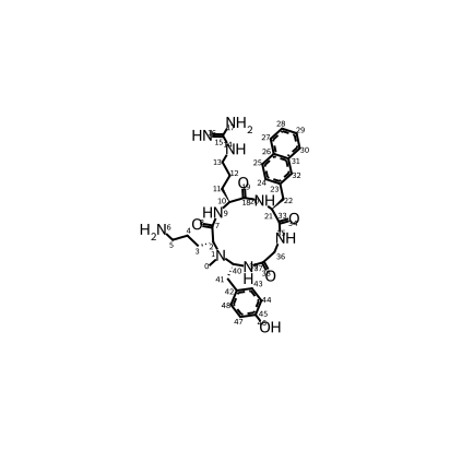 CN1[C@H](CCCN)C(=O)N[C@@H](CCCNC(=N)N)C(=O)N[C@@H](Cc2ccc3ccccc3c2)C(=O)NCC(=O)N[C@@H]1Cc1ccc(O)cc1